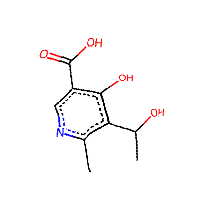 Cc1ncc(C(=O)O)c(O)c1C(C)O